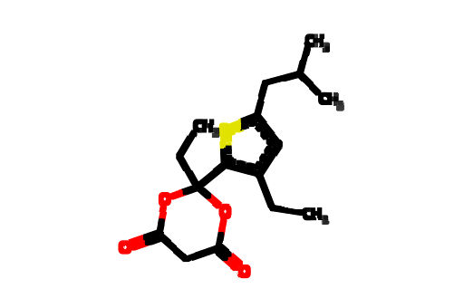 CCc1cc(CC(C)C)sc1C1(CC)OC(=O)CC(=O)O1